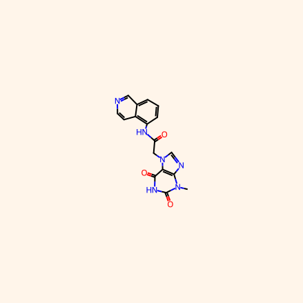 Cn1c(=O)[nH]c(=O)c2c1ncn2CC(=O)Nc1cccc2cnccc12